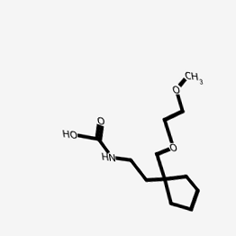 COCCOCC1(CCNC(=O)O)CCCC1